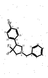 FC1(F)CN(Cc2ccccc2)CC1c1ccc(Br)cc1